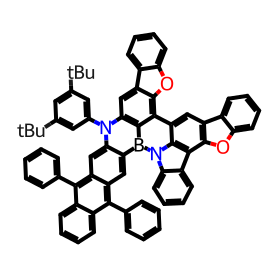 CC(C)(C)c1cc(N2c3cc4c(-c5ccccc5)c5ccccc5c(-c5ccccc5)c4cc3B3c4c2cc2c(oc5ccccc52)c4-c2cc4c5ccccc5oc4c4c5ccccc5n3c24)cc(C(C)(C)C)c1